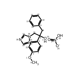 COc1ccc(C(O)(Cc2ccccc2)Cn2cncn2)cc1.O=[N+]([O-])O